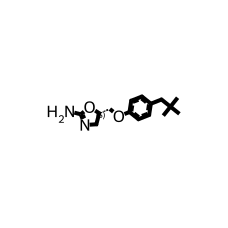 CC(C)(C)Cc1ccc(OC[C@@H]2CN=C(N)O2)cc1